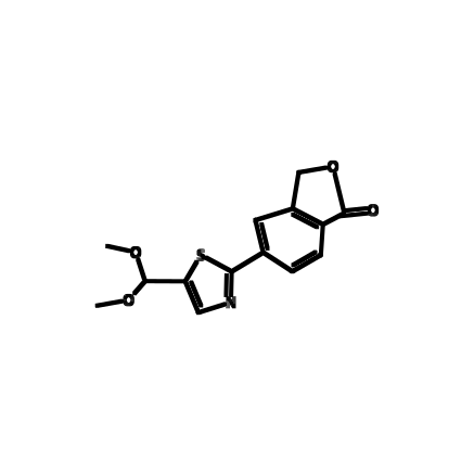 COC(OC)c1cnc(-c2ccc3c(c2)COC3=O)s1